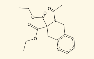 CCOC(=O)C1(C(=O)OCC)Cc2ncccc2CN1C(C)=O